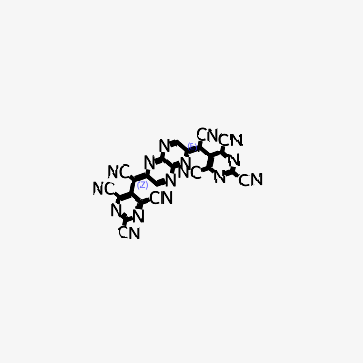 N#C/C(c1c(C#N)nc(C#N)nc1C#N)=c1/cnc2n/c(=C(/C#N)c3c(C#N)nc(C#N)nc3C#N)cnc2n1